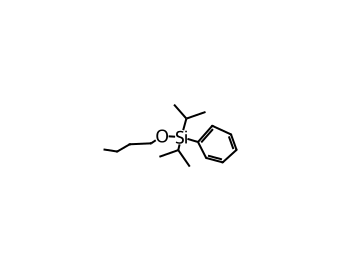 CCCCO[Si](c1ccccc1)(C(C)C)C(C)C